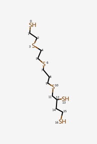 SCCSCCSCCCSCC(S)CCS